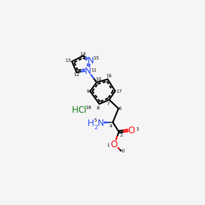 COC(=O)[C@@H](N)Cc1ccc(-n2cccn2)cc1.Cl